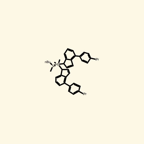 CCCC[Si](C)=[Hf]([CH3])([CH3])([CH]1C=Cc2c(-c3ccc(C(C)C)cc3)cccc21)[CH]1C=Cc2c(-c3ccc(C(C)C)cc3)cccc21